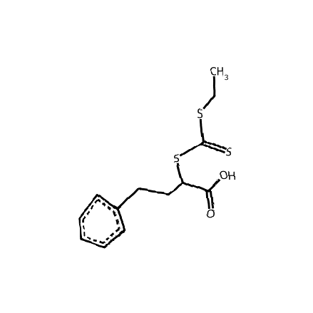 CCSC(=S)SC(CCc1ccccc1)C(=O)O